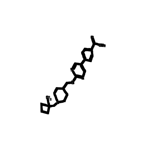 COC(=O)c1ccc(-c2cnc(OCC3CCN(CC4(C(F)(F)F)CCC4)CC3)nc2)cc1